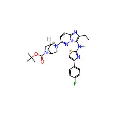 CCc1nc2ccc(N3CC4C[C@H]3CN4C(=O)OC(C)(C)C)nn2c1N(C)c1nc(-c2ccc(F)cc2)cs1